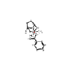 CB(O)N1C2CC[C@H]1C[C@@H](OC(=O)c1ccccc1)C2